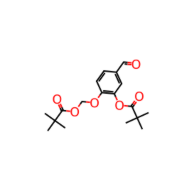 CC(C)(C)C(=O)OCOc1ccc(C=O)cc1OC(=O)C(C)(C)C